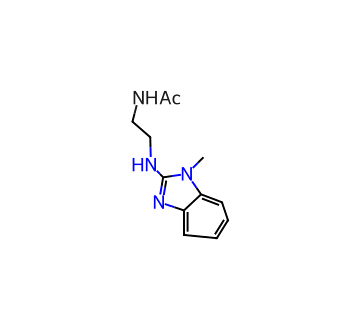 CC(=O)NCCNc1nc2ccccc2n1C